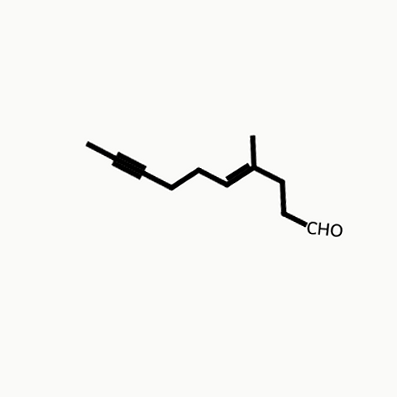 CC#CCCC=C(C)CCC=O